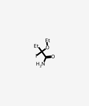 CCOC(I)(CC)C(N)=O